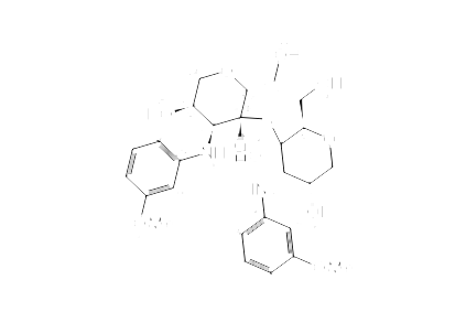 COc1cccc(N[C@H]2[C@@H](O)CO[C@H](CO)[C@]2(O)S[C@@]2(O)[C@@H](CO)OC[C@H](O)[C@@H]2Nc2cccc(OC)c2)c1